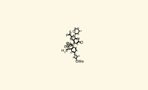 COC1CN(c2ccc(Nc3cc(Cl)nc4c3nc(C(F)F)n4C3CCCCO3)c(N(C)S(C)(=O)=O)c2)C1